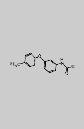 Cc1ccc(Oc2cccc(NC(=O)C(C)C)c2)cc1